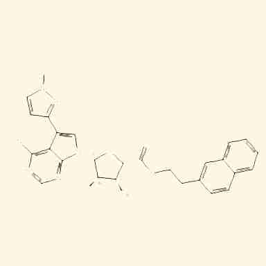 Cn1ccc(-c2cn([C@@H]3O[C@H](C(=O)NCCc4ccc5ccccc5c4)[C@@H](O)[C@H]3O)c3ncnc(N)c23)n1